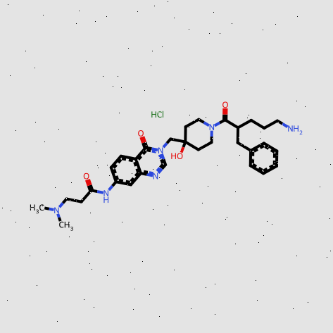 CN(C)CCC(=O)Nc1ccc2c(=O)n(CC3(O)CCN(C(=O)C(CCCN)Cc4ccccc4)CC3)cnc2c1.Cl